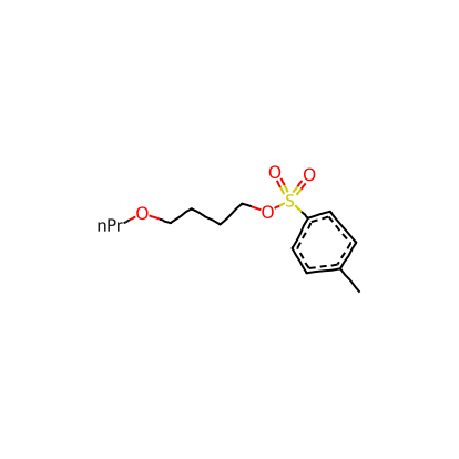 CCCOCCCCOS(=O)(=O)c1ccc(C)cc1